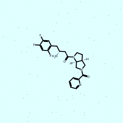 N[C@@H](CC(=O)N1CC[C@H]2CN(C(=O)c3ccccn3)C[C@H]21)Cc1cc(F)c(F)cc1F